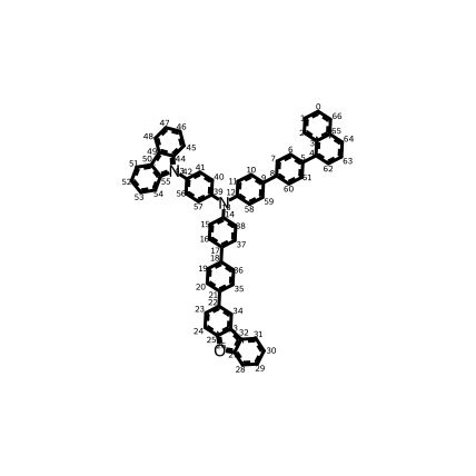 c1ccc2c(-c3ccc(-c4ccc(N(c5ccc(-c6ccc(-c7ccc8oc9ccccc9c8c7)cc6)cc5)c5ccc(-n6c7ccccc7c7ccccc76)cc5)cc4)cc3)cccc2c1